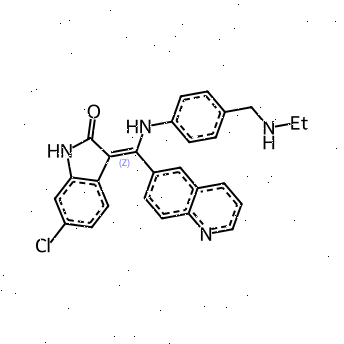 CCNCc1ccc(N/C(=C2\C(=O)Nc3cc(Cl)ccc32)c2ccc3ncccc3c2)cc1